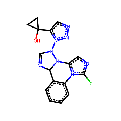 OC1(c2cnnn2N2C=NC3c4ccccc4-n4c(cnc4Cl)N32)CC1